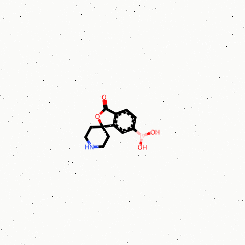 O=C1OC2(CCNCC2)c2cc(B(O)O)ccc21